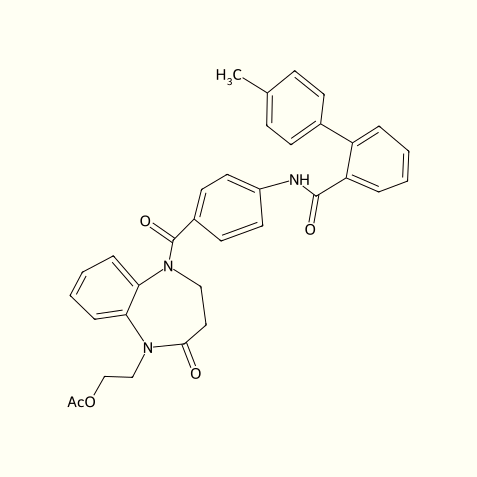 CC(=O)OCCN1C(=O)CCN(C(=O)c2ccc(NC(=O)c3ccccc3-c3ccc(C)cc3)cc2)c2ccccc21